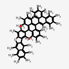 Bc1c(-c2c3c(B)c(B)c(B)c(B)c3c(-c3c(B)c4c(B)c(B)c(B)c(B)c4c4c(B)c(B)c(B)c(B)c34)c3c(B)c(B)c(B)c(B)c23)c(B)c2c(oc3c(B)c4c(B)c(B)c(B)c(B)c4c(B)c32)c1B